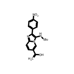 C=C(O)c1ccc2nc(-c3ccc([N+](=O)[O-])cc3)c(NC(C)(C)C)n2c1